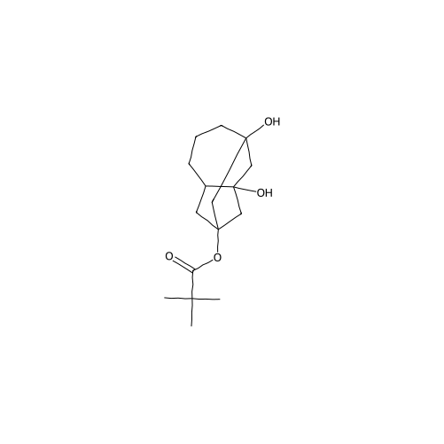 CC(C)(C)C(=O)OC12CC3CCCC(O)(C1)CC3(O)C2